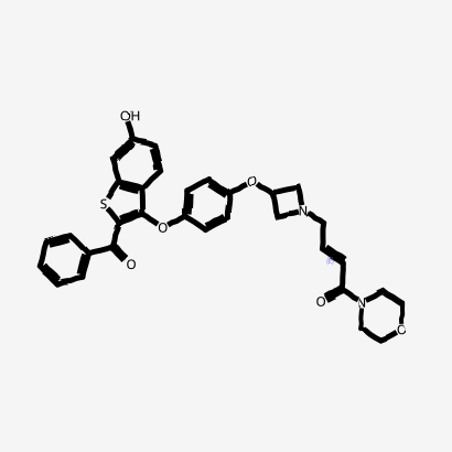 O=C(c1ccccc1)c1sc2cc(O)ccc2c1Oc1ccc(OC2CN(C/C=C/C(=O)N3CCOCC3)C2)cc1